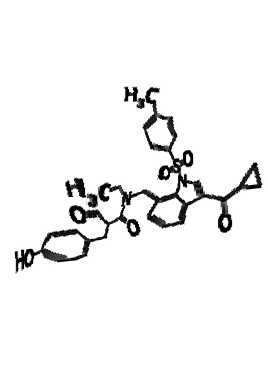 CCN(Cc1cccc2c(C(=O)C3CC3)cn(S(=O)(=O)c3ccc(C)cc3)c12)C(=O)C(C=O)Cc1ccc(O)cc1